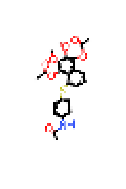 COc1c(OC)c(OC(C)=O)c2c(Sc3ccc(NC(C)=O)cc3)cccc2c1OC(C)=O